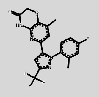 Cc1cc(F)ccc1-n1nc(C(F)(F)F)cc1-c1cc(C)c2c(n1)NC(=O)CO2